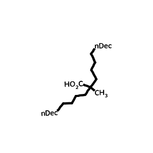 CCCCCCCCCCCCCCC(C)(CCCCCCCCCCCCCC)C(=O)O